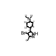 Cc1n[nH]c(-c2ccc(N(C)C)cc2)c1Br